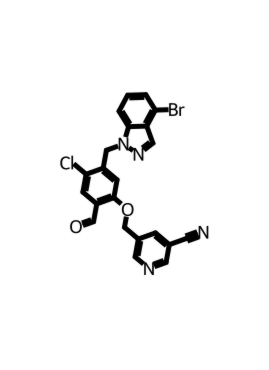 N#Cc1cncc(COc2cc(Cn3ncc4c(Br)cccc43)c(Cl)cc2C=O)c1